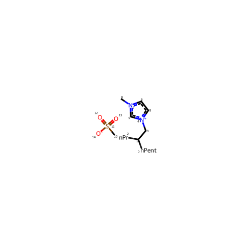 CCCCCC(CCC)C[n+]1ccn(C)c1.CS(=O)(=O)[O-]